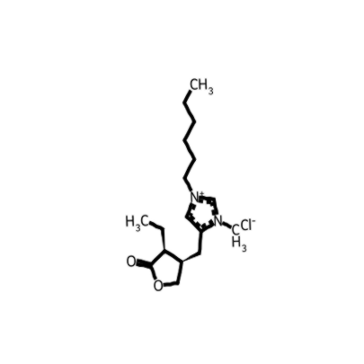 CCCCCC[n+]1cc(C[C@H]2COC(=O)[C@H]2CC)n(C)c1.[Cl-]